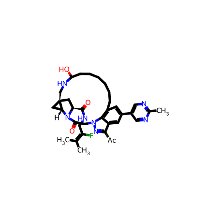 CC(=O)c1nn2c3c(cc(-c4cnc(C)nc4)cc13)CCCCCCC(O)NC[C@@]13C[C@@H](C(=O)NCC(F)=C(C)C)N(C(=O)C2)[C@@H]1C3